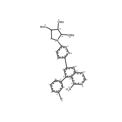 COC1CN(c2ccc(-c3cc(-c4cccc(Br)c4)c4c(N)ncnc4n3)nn2)C(OC)C1OC